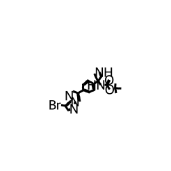 CC(C)(C)OC(=O)NC1(c2ccc(-c3cnc4c(Br)cnn4c3)cc2)CNC1